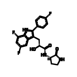 O=C(N[C@H]1CCNC1=O)C(O)Cc1c(-c2ccc(F)cc2)[nH]c2c(F)cc(F)cc12